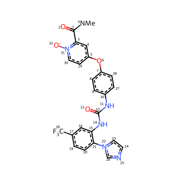 CNC(=O)c1cc(Oc2ccc(NC(=O)Nc3cc(C(F)(F)F)ccc3-n3ccnc3)cc2)cc[n+]1[O-]